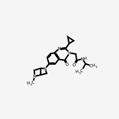 CC(C)NC(=O)Cn1c(C2CC2)nc2ccc(N3CC4C3CN4C)cc2c1=O